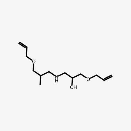 C=CCOCC(C)CNCC(O)COCC=C